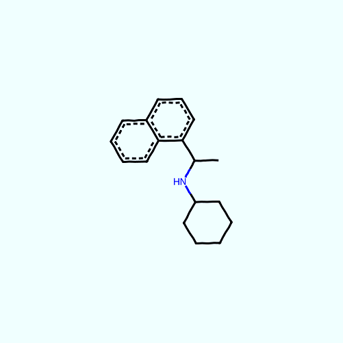 CC(NC1CCCCC1)c1cccc2ccccc12